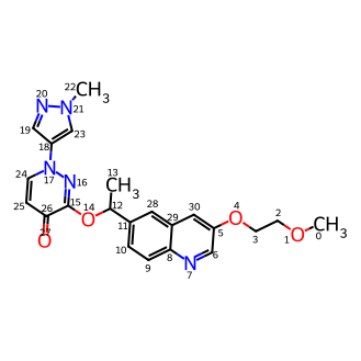 COCCOc1cnc2ccc(C(C)Oc3nn(-c4cnn(C)c4)ccc3=O)cc2c1